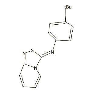 CC(C)(C)c1ccc(N=c2snc3ccccn23)cc1